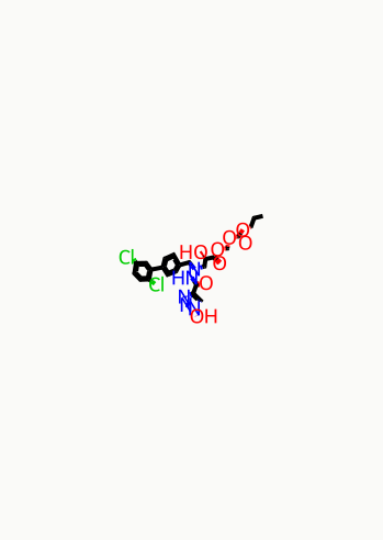 CCCOC(=O)OCOC(=O)[C@H](O)CN(Cc1ccc(-c2cc(Cl)ccc2Cl)cc1)NC(=O)c1cn(O)nn1